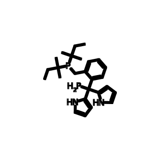 CCC(C)(C)P(Cc1ccccc1C(P)(c1ccc[nH]1)c1ccc[nH]1)C(C)(C)CC